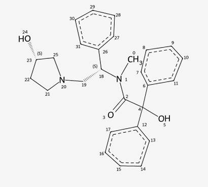 CN(C(=O)C(O)(c1ccccc1)c1ccccc1)[C@H](CN1CC[C@H](O)C1)c1ccccc1